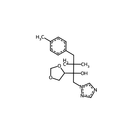 Cc1ccc(CC(C)(C)C(O)(Cn2cncn2)C2COCO2)cc1